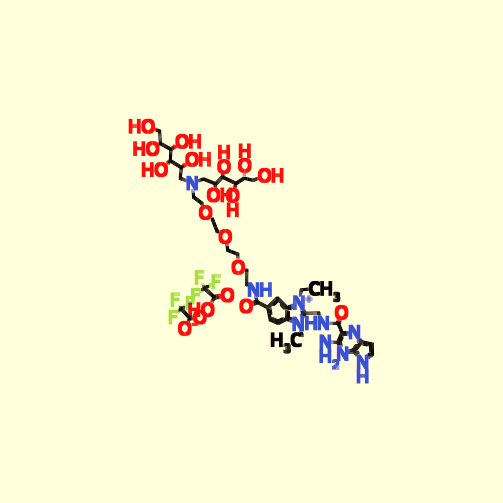 CCn1c(CNC(=O)c2nc3cc[nH]c3nc2N)[n+](CC)c2cc(C(=O)NCCOCCOCCOCCN(C[C@H](O)[C@@H](O)[C@H](O)[C@H](O)CO)C[C@H](O)[C@@H](O)[C@H](O)[C@H](O)CO)ccc21.O=C(O)C(F)(F)F.O=C([O-])C(F)(F)F